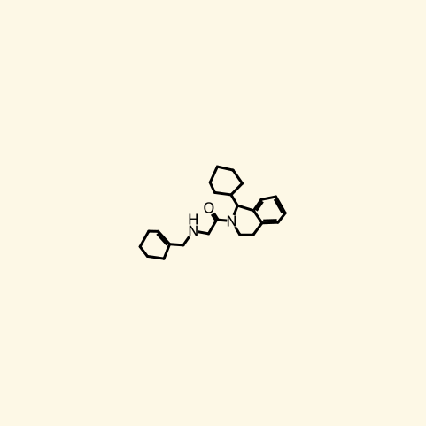 O=C(CNCC1=CCCCC1)N1CCc2ccccc2C1C1CCCCC1